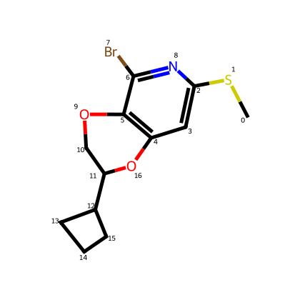 CSc1cc2c(c(Br)n1)OCC(C1CCC1)O2